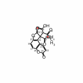 COC(=O)C1(C(C(=O)O)C(=O)O)C(=O)Oc2ccc3oc(=O)ccc3c21